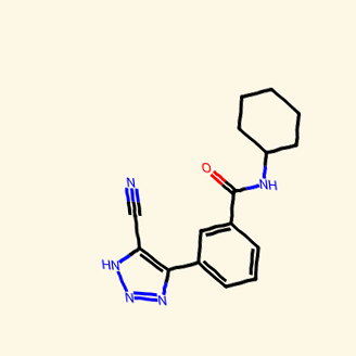 N#Cc1[nH]nnc1-c1cccc(C(=O)NC2CCCCC2)c1